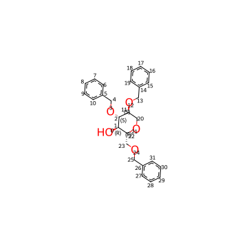 O[C@H]1[C@H](OCc2ccccc2)[C@@H](OCc2ccccc2)CO[C@@H]1COCc1ccccc1